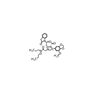 CCCON(CCC)C(=O)CN1C[C@H](c2cc(OC)c3c(c2)OCO3)[C@@H](C(=O)O)[C@@H]1CCN1C(=O)Cc2ccccc21